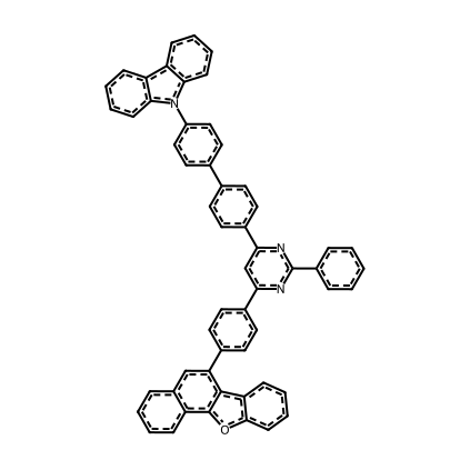 c1ccc(-c2nc(-c3ccc(-c4ccc(-n5c6ccccc6c6ccccc65)cc4)cc3)cc(-c3ccc(-c4cc5ccccc5c5oc6ccccc6c45)cc3)n2)cc1